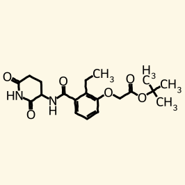 CCc1c(OCC(=O)OC(C)(C)C)cccc1C(=O)NC1CCC(=O)NC1=O